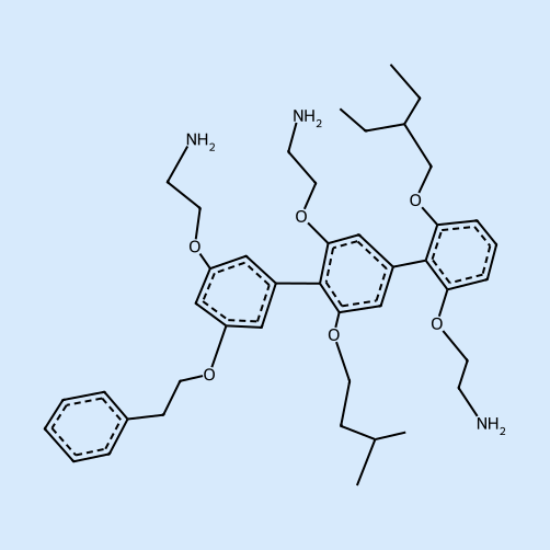 CCC(CC)COc1cccc(OCCN)c1-c1cc(OCCN)c(-c2cc(OCCN)cc(OCCc3ccccc3)c2)c(OCCC(C)C)c1